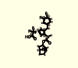 CN(C(=O)OC1CC2CCC(C1)N2)c1sccc1Cc1ccc(F)c(F)c1.O=C(O)C(F)(F)F